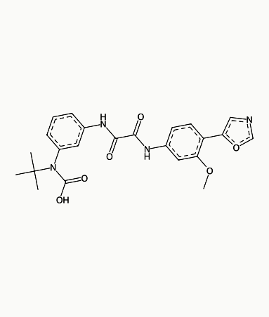 COc1cc(NC(=O)C(=O)Nc2cccc(N(C(=O)O)C(C)(C)C)c2)ccc1-c1cnco1